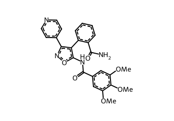 COc1cc(C(=O)Nc2onc(-c3ccncc3)c2-c2ccccc2C(N)=O)cc(OC)c1OC